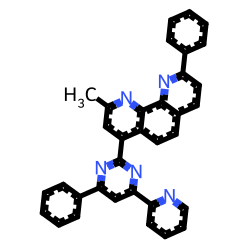 Cc1cc(-c2nc(-c3ccccc3)cc(-c3ccccn3)n2)c2ccc3ccc(-c4ccccc4)nc3c2n1